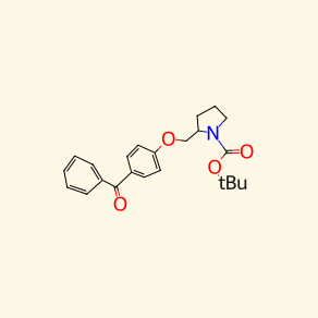 CC(C)(C)OC(=O)N1CCCC1COc1ccc(C(=O)c2ccccc2)cc1